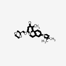 Cc1c2n(c(OC[C@@H]3COCCO3)cc1=O)CCc1cc(N3CCC(C)(C)C3)ccc1-2